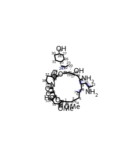 CO[C@H]1C[C@@H](C)C/C(C)=C/C(/C=C(/C)N)=C(/N)C[C@H](O)[C@@H](C)[C@@H](/C(C)=C/[C@H]2CC[C@H](O)CC2)OC(=O)[C@@H]2CCCCN2C(=O)C(=O)[C@]2(O)O[C@H]1[C@@H](OC)C[C@H]2C